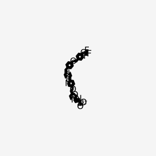 O=[N+]([O-])c1cn2c(n1)OC(COc1ccc(N3CCN(Cc4ccc(OCc5ccc(OC(F)(F)F)cc5)cc4)CC3)nc1)CC2